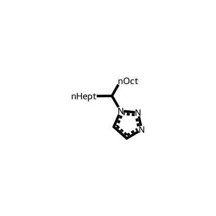 CCCCCCCCC(CCCCCCC)n1ccnn1